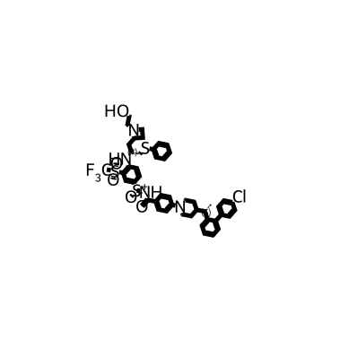 C[C@H](c1ccccc1-c1ccc(Cl)cc1)C1CCN(c2ccc(C(=O)N[S+]([O-])c3ccc(N[C@@H](CSc4ccccc4)CC4CCN4CCO)c(S(=O)(=O)C(F)(F)F)c3)cc2)CC1